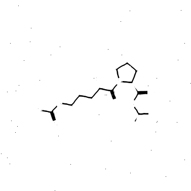 C[C@H](NC(=O)[C@@H]1CCCN1C(=O)[C@@H](N)CCCNC(=N)N)C(=O)O